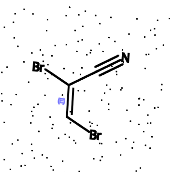 N#C/C(Br)=C\Br